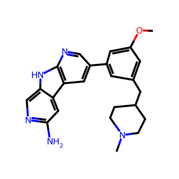 COc1cc(CC2CCN(C)CC2)cc(-c2cnc3[nH]c4cnc(N)cc4c3c2)c1